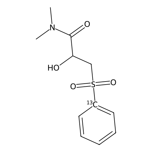 CN(C)C(=O)C(O)CS(=O)(=O)[13c]1ccccc1